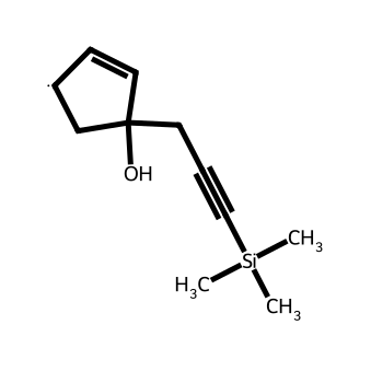 C[Si](C)(C)C#CCC1(O)C=C[CH]C1